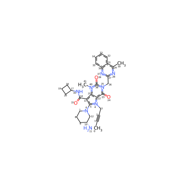 CC#CCn1c(N2CCC[C@@H](N)C2)c(C(=O)NC2CCC2)c2c1c(=O)n(Cc1nc(C)c3ccccc3n1)c(=O)n2C